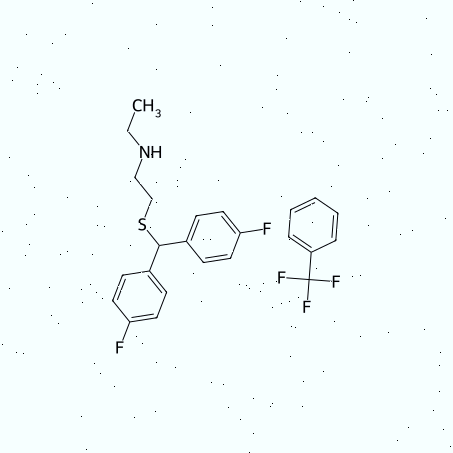 CCNCCSC(c1ccc(F)cc1)c1ccc(F)cc1.FC(F)(F)c1ccccc1